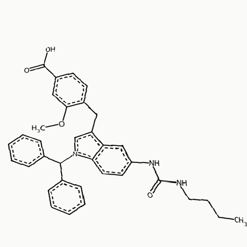 CCCCNC(=O)Nc1ccc2c(c1)c(Cc1ccc(C(=O)O)cc1OC)cn2C(c1ccccc1)c1ccccc1